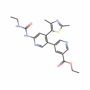 CCNC(=O)Nc1cc(-c2sc(C)nc2C)c(-c2cncc(C(=O)OCC)c2)cn1